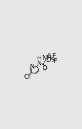 NC(CC(F)(F)F)C(=O)Nc1ccc(Cl)cn1